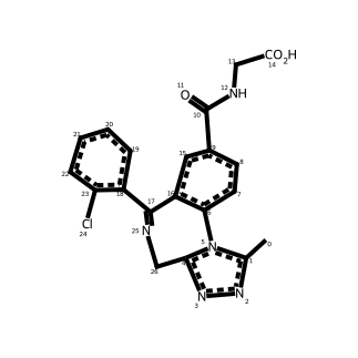 Cc1nnc2n1-c1ccc(C(=O)NCC(=O)O)cc1C(c1ccccc1Cl)=NC2